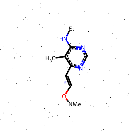 CCNc1ncnc(/C=C/ONC)c1C